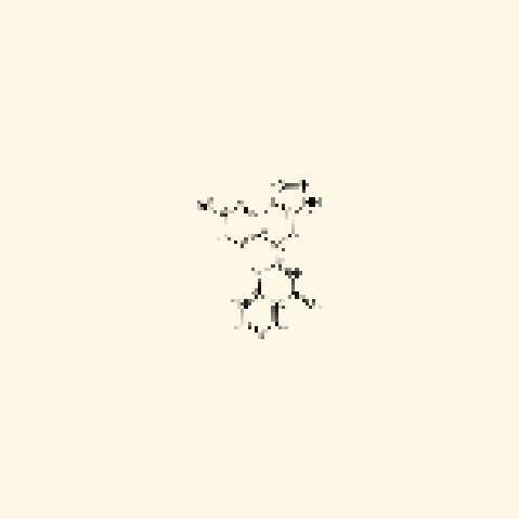 O=c1nc(N(Cc2nnn[nH]2)c2ccc(Br)cc2)sc2ncccc12